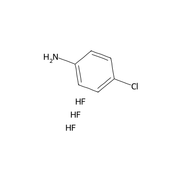 F.F.F.Nc1ccc(Cl)cc1